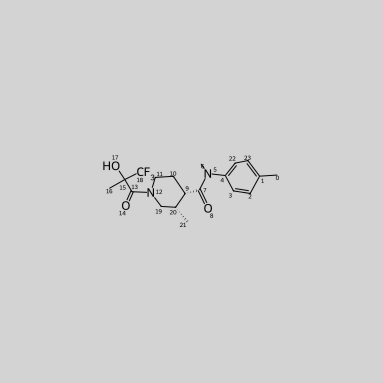 Cc1ccc(N(C)C(=O)[C@H]2CCN(C(=O)C(C)(O)C(F)(F)F)C[C@H]2C)cc1